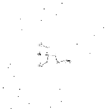 CCCCCCCC(CO)(CO)CCC